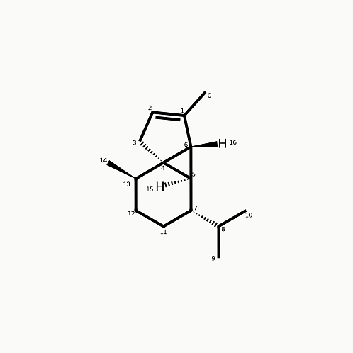 CC1=CC[C@@]23[C@@H]([C@@H]12)[C@H](C(C)C)CC[C@H]3C